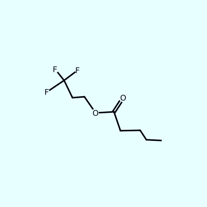 CCCCC(=O)OCCC(F)(F)F